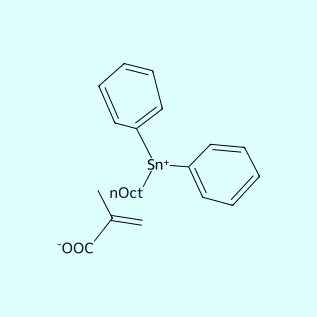 C=C(C)C(=O)[O-].CCCCCCC[CH2][Sn+]([c]1ccccc1)[c]1ccccc1